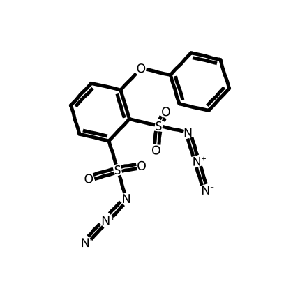 [N-]=[N+]=NS(=O)(=O)c1cccc(Oc2ccccc2)c1S(=O)(=O)N=[N+]=[N-]